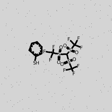 O=S(=O)(C(S(=O)(=O)C(F)(F)F)S(=O)(=O)C(F)(F)F)C(F)(F)F.Sc1ccccc1